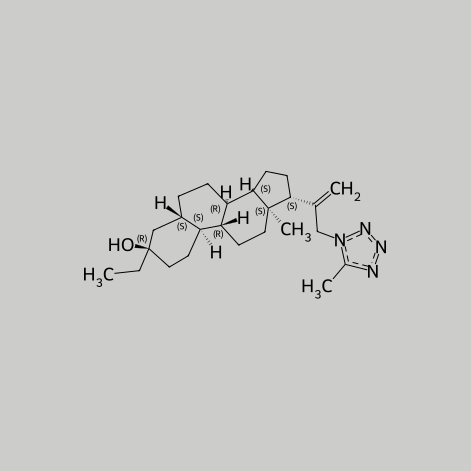 C=C(Cn1nnnc1C)[C@H]1CC[C@H]2[C@@H]3CC[C@H]4C[C@@](O)(CC)CC[C@@H]4[C@H]3CC[C@]12C